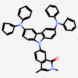 Cc1cn(C)c(=O)c2cc(-n3c4ccc(N(c5ccccc5)c5ccccc5)cc4c4cc(N(c5ccccc5)c5ccccc5)ccc43)ccc12